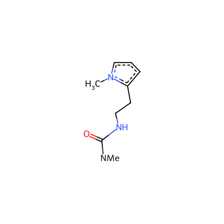 CNC(=O)NCCc1cccn1C